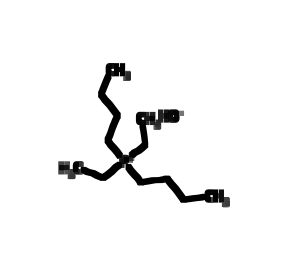 CCCC[P+](CC)(CC)CCCC.[OH-]